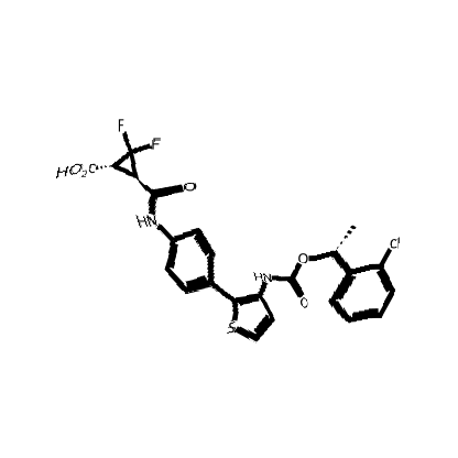 C[C@@H](OC(=O)Nc1ccsc1-c1ccc(NC(=O)[C@H]2[C@H](C(=O)O)C2(F)F)cc1)c1ccccc1Cl